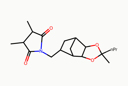 CCCC1(C)OC2C3CC(CN4C(=O)C(C)C(C)C4=O)C(C3)C2O1